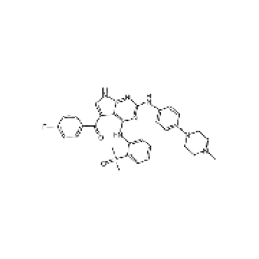 CN1CCN(c2ccc(Nc3nc(Nc4ccccc4P(C)(C)=O)c4c(C(=O)c5ccc(F)cc5)c[nH]c4n3)cc2)CC1